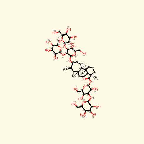 C=C1C[C@@]2(C)CCC3[C@](C)(C(=O)OC4OC(CO)C(O)C(OC5OC(CO)C(O)C(O)C5O)C4O)CCC[C@@]3(C)[C@@H]2CCC1OC1OC(CO)C(O)C(OC2OC(CO)C(O)C(O)C2O)C1OC1OC(CO)C(O)C(O)C1O